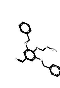 COCOc1c(OCc2ccccc2)cc(C=O)cc1OCc1ccccc1